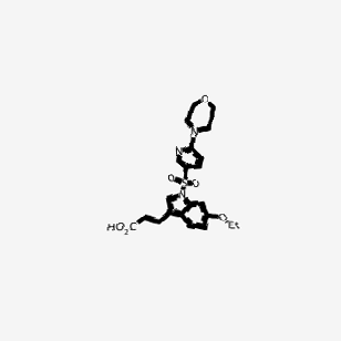 CCOc1ccc2c(CCC(=O)O)cn(S(=O)(=O)c3ccc(N4CCOCC4)nc3)c2c1